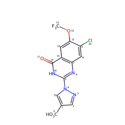 O=C(O)c1cnn(-c2nc3cc(Cl)c(OC(F)(F)F)cc3c(=O)[nH]2)c1